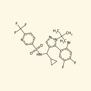 CC(C)(C)n1ncc(C(NS(=O)(=O)c2ccc(C(F)(F)F)nc2)C2CC2)c1-c1cc(F)c(F)cc1Br